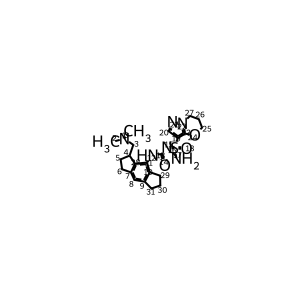 CN(C)CC1CCc2cc3c(c(NC(=O)N=S(N)(=O)c4cnn5c4OCCC5)c21)CCC3